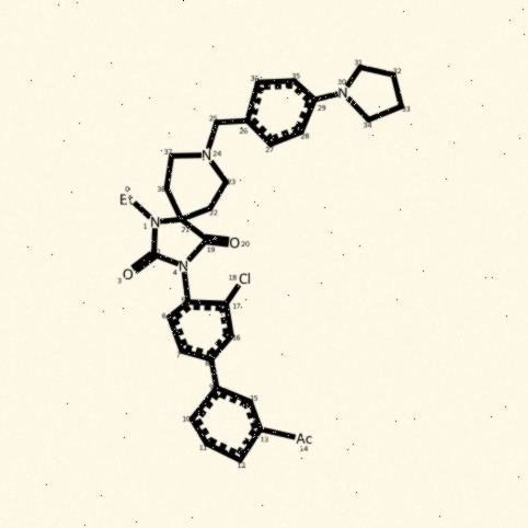 CCN1C(=O)N(c2ccc(-c3cccc(C(C)=O)c3)cc2Cl)C(=O)C12CCN(Cc1ccc(N3CCCC3)cc1)CC2